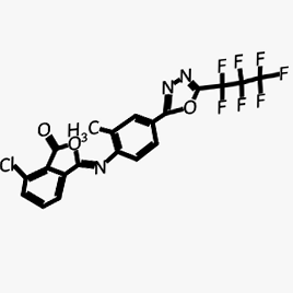 Cc1cc(-c2nnc(C(F)(F)C(F)(F)C(F)(F)F)o2)ccc1N=C1OC(=O)c2c(Cl)cccc21